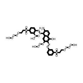 Nc1ccc2c(O)c(/N=N/c3cccc(S(=O)(=O)CCOSOOO)c3)c(SOOO)cc2c1/N=N/c1ccc(S(=O)(=O)CCOSOOO)cc1S(=O)O